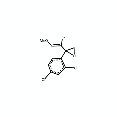 CCCC(=NOC)C1(c2ccc(Cl)cc2Cl)CO1